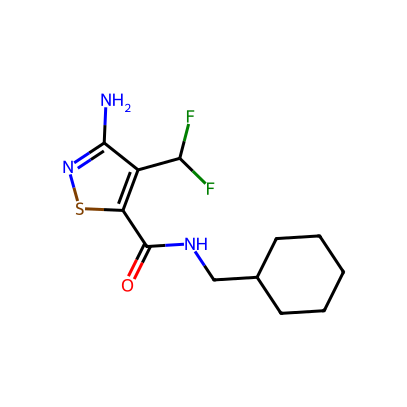 Nc1nsc(C(=O)NCC2CCCCC2)c1C(F)F